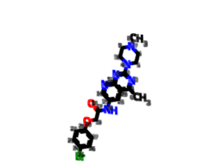 Cc1nc(N2CCN(C)CC2)nc2ncc(NC(=O)COc3ccc(Br)cc3)cc12